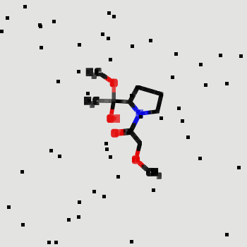 COCC(=O)N1CCCC1C(C)(O)OC